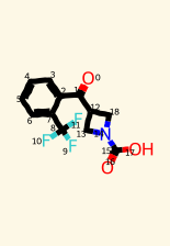 O=C(c1ccccc1C(F)(F)F)C1CN(C(=O)O)C1